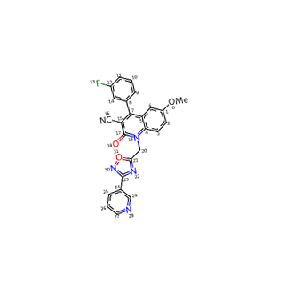 COc1ccc2c(c1)c(-c1cccc(F)c1)c(C#N)c(=O)n2Cc1nc(-c2cccnc2)no1